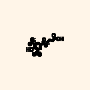 CCCC(=O)O.O=[N+]([O-])c1cc([N+](=O)[O-])c(O)c([N+](=O)[O-])c1